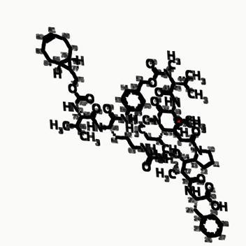 CCC(C)[C@@H](C(CC(=O)N1CCC[C@H]1[C@H](OC)[C@@H](C)C(=O)N[C@@H](Cc1ccccc1)C(=O)O)OC)N(C)C(=O)[C@@H](NC(=O)[C@H](C(C)C)N(C)C(=O)OCc1ccc(NC(=O)[C@H](CCCNC(N)=O)NC(=O)[C@@H](NC(=O)OCC2[C@H]3CCC#CCC[C@@H]23)C(C)C)cc1)C(C)C